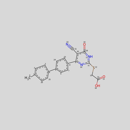 Cc1ccc(-c2ccc(-c3nc(SCC(=O)O)[nH]c(=O)c3C#N)cc2)cc1